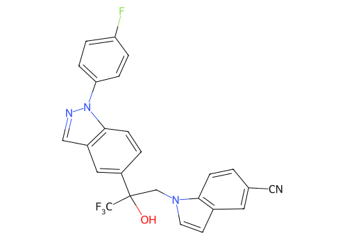 N#Cc1ccc2c(ccn2CC(O)(c2ccc3c(cnn3-c3ccc(F)cc3)c2)C(F)(F)F)c1